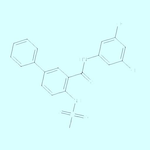 CS(=O)(=O)Nc1ccc(-c2ccccc2)cc1C(=O)Nc1cc(C(F)(F)F)cc(C(F)(F)F)c1